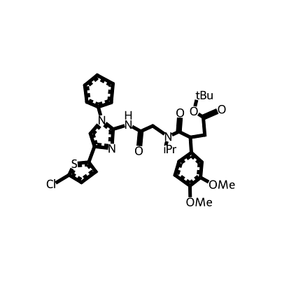 COc1ccc(C(CC(=O)OC(C)(C)C)C(=O)N(CC(=O)Nc2nc(-c3ccc(Cl)s3)cn2-c2ccccc2)C(C)C)cc1OC